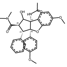 COc1ccc([C@@]23Oc4cc(OC)ccc4[C@]2(NC(C)=O)C(O)[C@H](C(=O)N(C)C)[C@H]3c2ccccc2)cc1